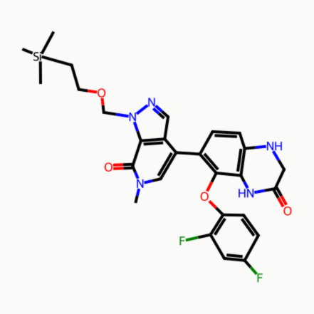 Cn1cc(-c2ccc3c(c2Oc2ccc(F)cc2F)NC(=O)CN3)c2cnn(COCC[Si](C)(C)C)c2c1=O